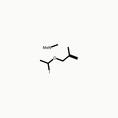 C=C(C)COC(C)I.CNC